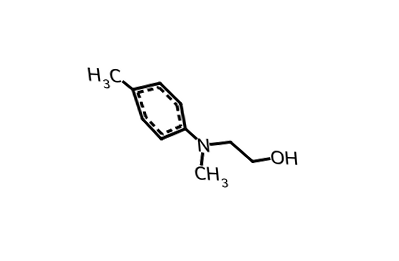 Cc1ccc(N(C)CCO)cc1